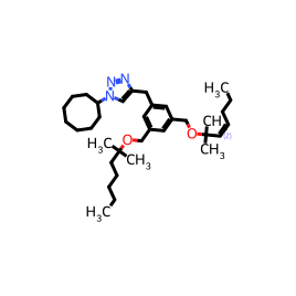 CCC/C=C\C(C)(C)OCc1cc(COC(C)(C)CCCCC)cc(Cc2cn(C3CCCCCCC3)nn2)c1